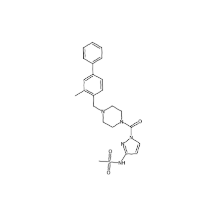 Cc1cc(-c2ccccc2)ccc1CN1CCN(C(=O)n2ccc(NS(C)(=O)=O)n2)CC1